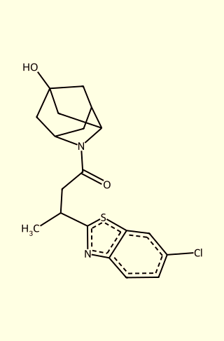 CC(CC(=O)N1C2CC3CC(O)(C2)CC31)c1nc2ccc(Cl)cc2s1